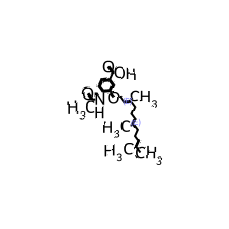 CC(=O)Nc1ccc(C(=O)O)cc1OC/C=C(\C)CC/C=C(\C)CCC=C(C)C